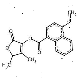 C=Cc1ccc(C(=O)OC2=C(C)C(C)OC2=O)c2ccccc12